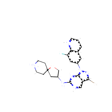 Fc1cc(-n2nc(Br)c3cnc(NC4COC5(CCNCC5)C4)nc32)cc2cccnc12